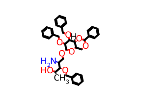 C[C@@H](O)[C@@H](OCc1ccccc1)[C@@H](N)CO[C@H]1OC2COC(c3ccccc3)O[C@@H]2C(OCc2ccccc2)C1OCc1ccccc1